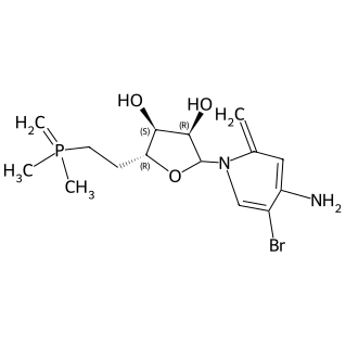 C=C1C=C(N)C(Br)=CN1C1O[C@H](CCP(=C)(C)C)[C@@H](O)[C@H]1O